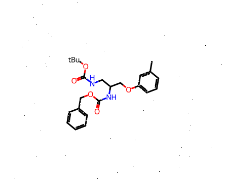 Cc1cccc(OCC(CNC(=O)OC(C)(C)C)NC(=O)OCc2ccccc2)c1